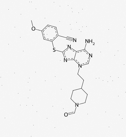 COc1ccc(C#N)c(Sc2nc3c(N)ncn(CCC4CCN(C=O)CC4)c-3n2)c1